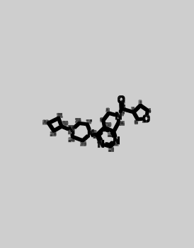 O=C(C1CCOC1)N1CCc2c(ncnc2N2CCN(C3CCC3)CC2)C1